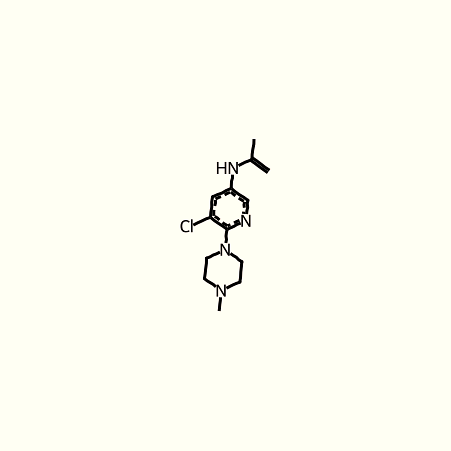 C=C(C)Nc1cnc(N2CCN(C)CC2)c(Cl)c1